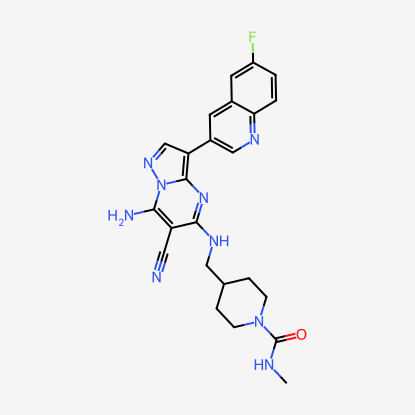 CNC(=O)N1CCC(CNc2nc3c(-c4cnc5ccc(F)cc5c4)cnn3c(N)c2C#N)CC1